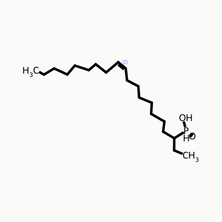 CCCCCCCC/C=C\CCCCCCCC(CC)[PH](=O)O